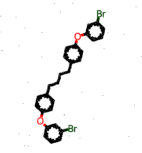 Brc1cccc(Oc2ccc(CCCCc3ccc(Oc4cccc(Br)c4)cc3)cc2)c1